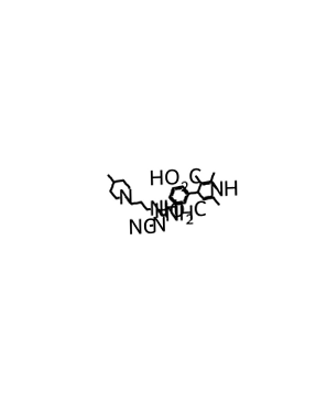 CC1=C(C(=O)O)C(c2cccc(N/C(=N/C#N)NCCCN3CCC(C)CC3)c2)C(C(=O)O)=C(C)N1